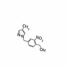 Cc1cnn(Cc2ccc(CO)c([N+](=O)[O-])c2)c1